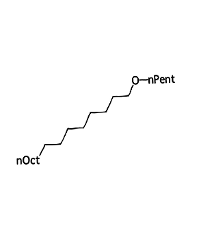 [CH2]CCCCCCCCCCCCCCCOCCCCC